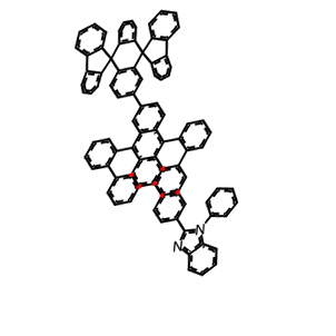 c1ccc(-c2ccccc2-c2c3ccc(-c4ccc5c(c4)C4(c6ccccc6-c6ccccc64)c4ccccc4C54c5ccccc5-c5ccccc54)cc3c(-c3ccccc3-c3ccccc3)c3ccc(-c4ccc(-c5nc6ccccc6n5-c5ccccc5)cc4)cc23)cc1